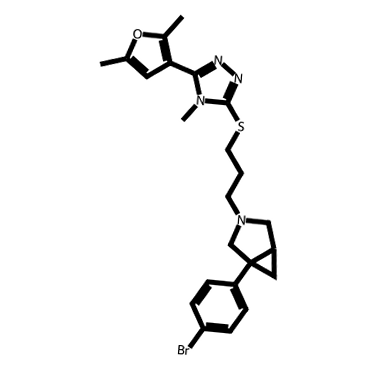 Cc1cc(-c2nnc(SCCCN3CC4CC4(c4ccc(Br)cc4)C3)n2C)c(C)o1